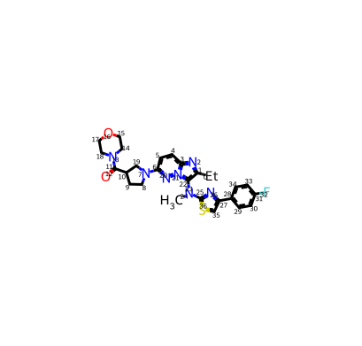 CCc1nc2ccc(N3CCC(C(=O)N4CCOCC4)C3)nn2c1N(C)c1nc(-c2ccc(F)cc2)cs1